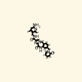 Cc1cc(N)nc(C)c1CNC(=O)c1cn2c(n1)C(=O)Nc1cc(Cn3ccccc3=O)ccc1C2